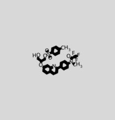 Cc1ccc(S(=O)(=O)OCC(CO)Oc2ccc3ccc(-c4ccc(N(C)C(=O)C(F)(F)F)cc4)nc3c2)cc1